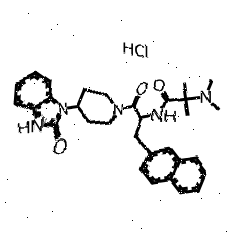 CN(C)C(C)(C)C(=O)NC(Cc1ccc2ccccc2c1)C(=O)N1CCC(n2c(=O)[nH]c3ccccc32)CC1.Cl